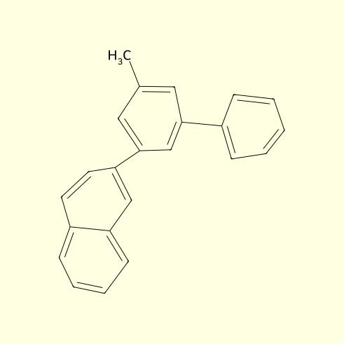 Cc1cc(-c2ccccc2)cc(-c2ccc3ccccc3c2)c1